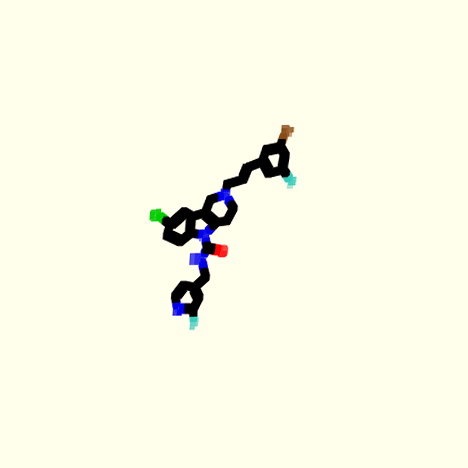 O=C(NCc1ccnc(F)c1)n1c2c(c3cc(Cl)ccc31)CN(CC=Cc1cc(F)cc(Br)c1)CC2